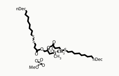 CCCCCCCCCCCCCCCCCCSSCCC(=O)OCC(C[N+](C)(C)C)OC(=O)CCSSCCCCCCCCCCCCCCCCCC.COS(=O)(=O)[O-]